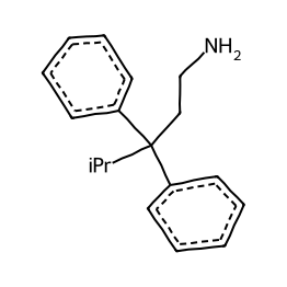 CC(C)C(CCN)(c1ccccc1)c1ccccc1